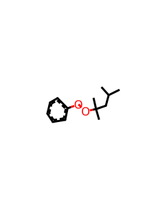 CC(C)CC(C)(C)OOc1ccccc1